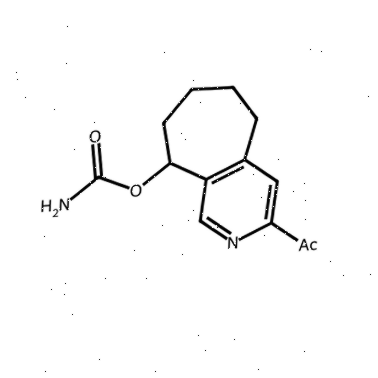 CC(=O)c1cc2c(cn1)C(OC(N)=O)CCCC2